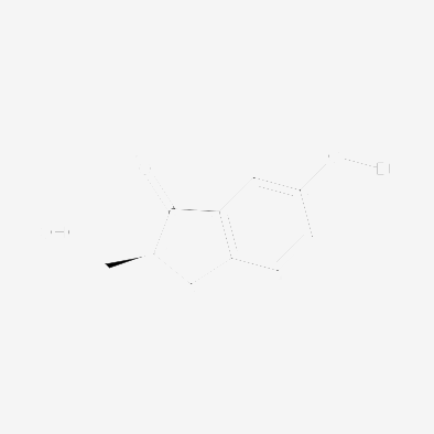 CCOc1ccc2c(c1)C(=O)[C@H](CC=O)C2